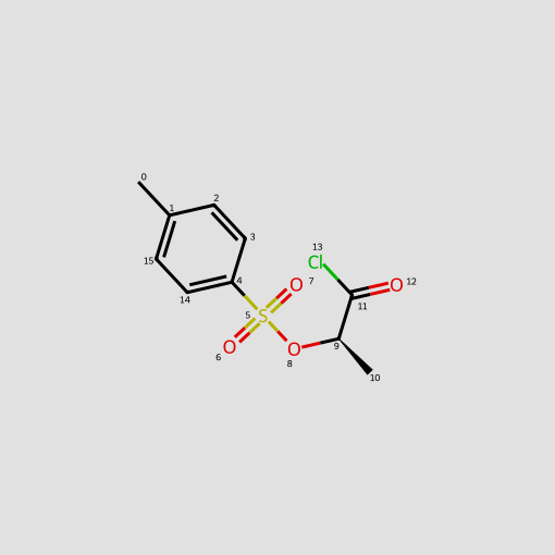 Cc1ccc(S(=O)(=O)O[C@H](C)C(=O)Cl)cc1